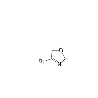 BrC1=N[C]OC1